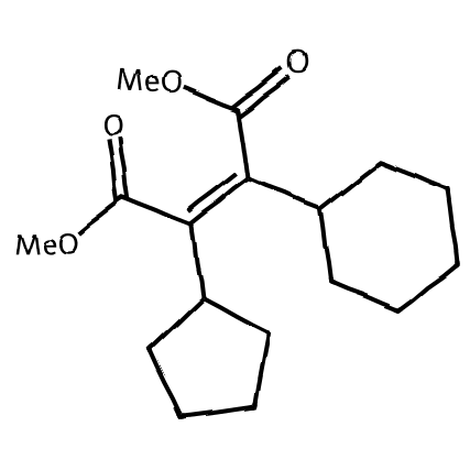 COC(=O)C(=C(C(=O)OC)C1CCCC1)C1CCCCC1